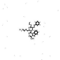 CCOC(=O)C(CCc1ccccc1)CN(CCCCN)C(=O)N1c2ccccc2C[C@H]1C(=O)O